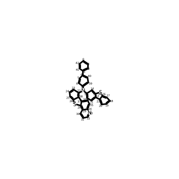 c1ccc(-c2ccc(N(c3ccc4c(c3)sc3ccccc34)c3cccc4sc5c6cccnc6ccc5c34)cc2)cc1